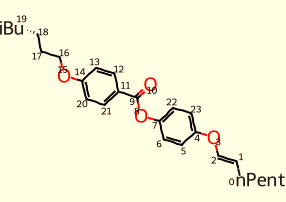 CCCCC/C=C/Oc1ccc(OC(=O)c2ccc(OCCC[C@@H](C)CC)cc2)cc1